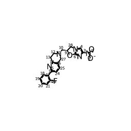 O=[N+]([O-])c1cn2c(n1)O[C@@H](CN1CCc3nc(-c4ccccc4F)ccc3C1)C2